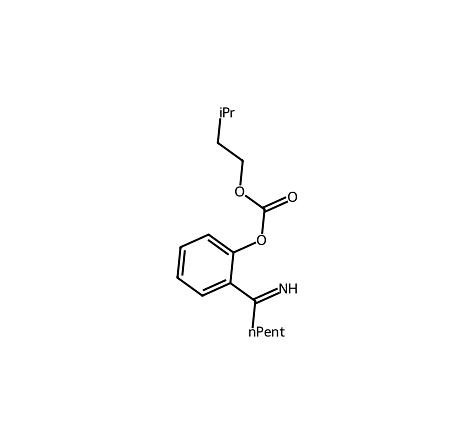 CCCCCC(=N)c1ccccc1OC(=O)OCCC(C)C